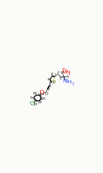 CC(N)(CO)CCc1ccc(C#CCOc2ccc(Cl)cc2)s1